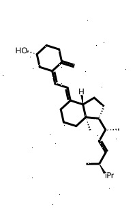 C=C1CC[C@@H](O)C/C1=C/C=C1\CCC[C@]2(C)[C@@H]([C@H](C)/C=C/[C@H](C)C(C)C)CC[C@@H]12